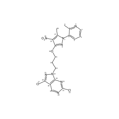 Cc1ncccc1-n1nc(OCCCn2nc(Cl)c3cnc(Cl)nc32)c([N+](=O)[O-])c1C